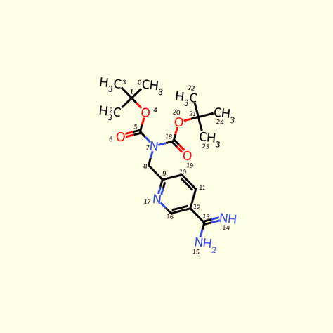 CC(C)(C)OC(=O)N(Cc1ccc(C(=N)N)cn1)C(=O)OC(C)(C)C